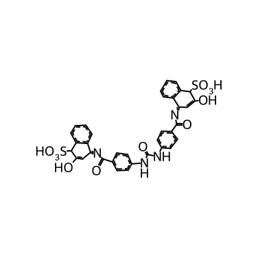 O=C(Nc1ccc(C(=O)N=C2C=C(O)C(S(=O)(=O)O)c3ccccc32)cc1)Nc1ccc(C(=O)N=C2C=C(O)C(S(=O)(=O)O)c3ccccc32)cc1